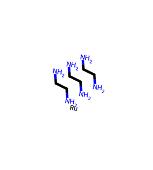 NCCN.NCCN.NCCN.[Ru]